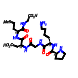 CSCC[C@H](NC(=O)[C@H](CC(=O)O)NC(=O)CNC(=O)[C@H](CCCCN)NC(=O)[C@@H]1CCCN1)C(=O)NCC(=O)O